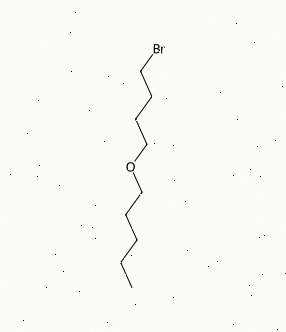 CCCCCOCCCCBr